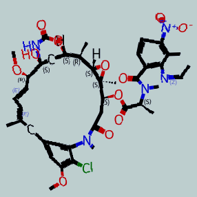 C/C=N\c1c(C(=O)N(C)[C@@H](C)C(=O)O[C@H]2CC(=O)N(C)c3cc(cc(OC)c3Cl)C/C(C)=C/C=C/[C@@H](OC)[C@@]3(O)C[C@H](OC(=O)N3)[C@@H](C)[C@@H]3O[C@@]23C)ccc([N+](=O)[O-])c1C